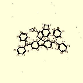 CCCCC(CC)CC1(c2ccc3c(c2)CC3)c2cc(N(c3ccccc3)c3ccccc3)ccc2-c2ccc(N(c3ccccc3)c3ccccc3)cc21